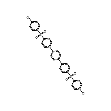 O=S(=O)(c1ccc(Cl)cc1)c1ccc(-c2ccc(-c3ccc(S(=O)(=O)c4ccc(Cl)cc4)cc3)cc2)cc1